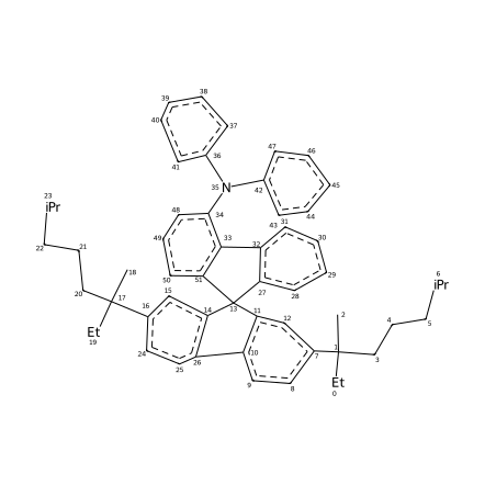 CCC(C)(CCCC(C)C)c1ccc2c(c1)C1(c3cc(C(C)(CC)CCCC(C)C)ccc3-2)c2ccccc2-c2c(N(c3ccccc3)c3ccccc3)cccc21